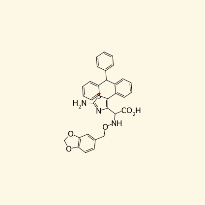 Nc1nc(C(NOCc2ccc3c(c2)OCO3)C(=O)O)c(-c2ccccc2C(c2ccccc2)c2ccccc2)s1